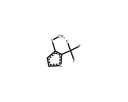 CSc1ccsc1C(F)(F)F